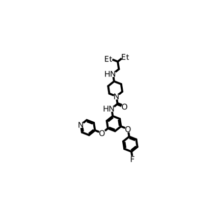 CCC(CC)CNC1CCN(C(=O)Nc2cc(Oc3ccncc3)cc(Oc3ccc(F)cc3)c2)CC1